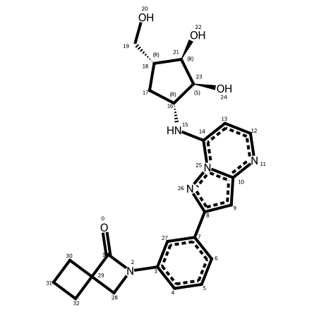 O=C1N(c2cccc(-c3cc4nccc(N[C@@H]5C[C@H](CO)[C@@H](O)[C@H]5O)n4n3)c2)CC12CCC2